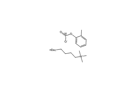 CCCCCCCCCCCCCC[N+](C)(C)C.Cc1ccccc1O[PH](=O)[O-]